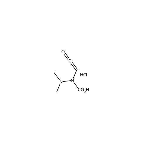 CN(C)N(C=C=O)C(=O)O.Cl